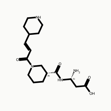 N[C@H](CC(=O)O)NC(=O)[C@@H]1CCCN(C(=O)C=CC2CCNCC2)C1